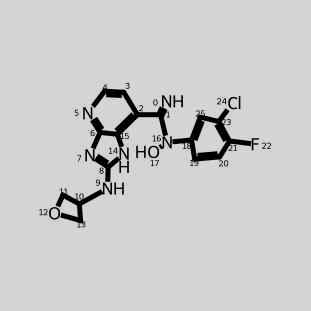 N=C(c1ccnc2nc(NC3COC3)[nH]c12)N(O)c1ccc(F)c(Cl)c1